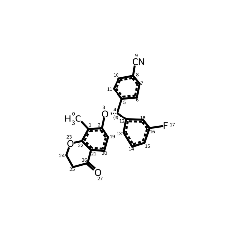 Cc1c(O[C@H](c2ccc(C#N)cc2)c2cccc(F)c2)ccc2c1OCCC2=O